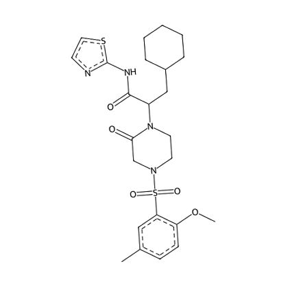 COc1ccc(C)cc1S(=O)(=O)N1CCN(C(CC2CCCCC2)C(=O)Nc2nccs2)C(=O)C1